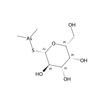 C[As](C)S[C@@H]1O[C@H](CO)[C@H](O)[C@H](O)[C@H]1O